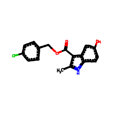 Cc1[nH]c2ccc(O)cc2c1C(=O)OCc1ccc(Cl)cc1